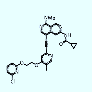 CNc1ncc(C#Cc2cc(OCCOc3cccc(Cl)n3)c(C)cn2)c2cc(NC(=O)C3CC3)ncc12